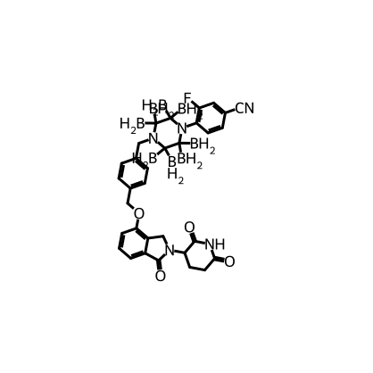 BC1(B)N(Cc2ccc(COc3cccc4c3CN(C3CCC(=O)NC3=O)C4=O)cc2)C(B)(B)C(B)(B)N(c2ccc(C#N)cc2F)C1(B)B